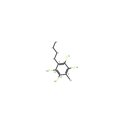 CCCCc1c(F)c(F)c(C)c(F)c1F